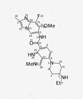 CCNC1CCN(C2=CC=C(C(=O)Nc3cn4cc(C)nc4c(F)c3OC)C(=N)/C2=C\NC)CC1